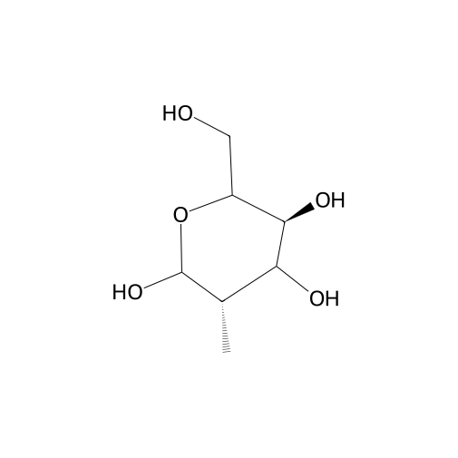 C[C@@H]1C(O)OC(CO)[C@@H](O)C1O